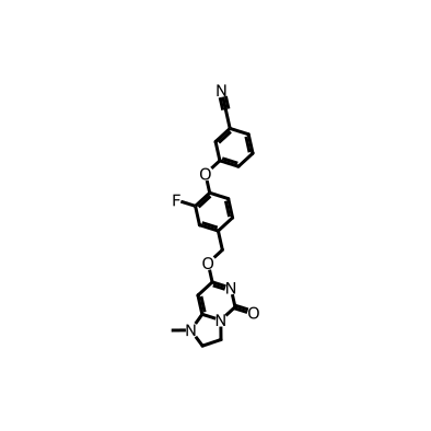 CN1CCn2c1cc(OCc1ccc(Oc3cccc(C#N)c3)c(F)c1)nc2=O